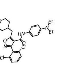 CCN(CC)c1ccc(NC(=O)c2c(-c3c(Cl)cccc3Cl)noc2CC2CCOCC2)cc1